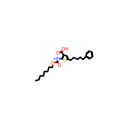 CCCCCCCCOC(=O)Nc1sc(CCCCCc2ccccc2)cc1C(=O)O